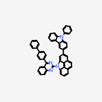 c1ccc(-c2ccc(-c3nc(-n4c5cccc6ccc7cc(-c8ccc9c(c8)c8ccccc8n9-c8ccccc8)cc4c7c65)nc4ccccc34)cc2)cc1